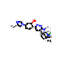 Cc1cn(-c2ccc(-c3ccc(N(C)[C@@H]4[C@H]5CC[C@](C)(NC5)[C@H]4F)nn3)c(O)c2)cn1